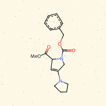 COC(=O)C1C=C(N2CCCC2)CN1C(=O)OCc1ccccc1